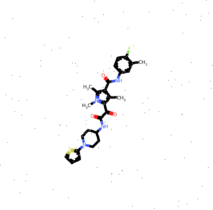 Cc1cc(NC(=O)c2c(C)c(C(=O)C(=O)NC3CCN(c4cccs4)CC3)n(C)c2C)ccc1F